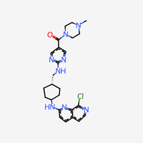 CN1CCN(C(=O)c2cnc(NC[C@H]3CC[C@H](Nc4ccc5ccnc(Cl)c5n4)CC3)nc2)CC1